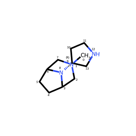 CN1CC2CCC(C1)N2[C@@H]1CCNC1